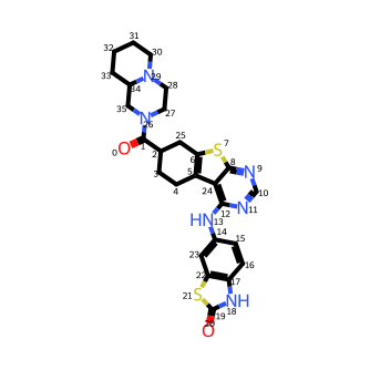 O=C(C1CCc2c(sc3ncnc(Nc4ccc5[nH]c(=O)sc5c4)c23)C1)N1CCN2CCCCC2C1